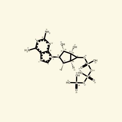 C[C@@H]1[C@@H](n2cnc3c(N)nc(N)nc32)[C@H](O)[C@@]2(O)C(OP(=O)(O)OP(=O)(O)OP(=O)(O)O)[C@@H]12